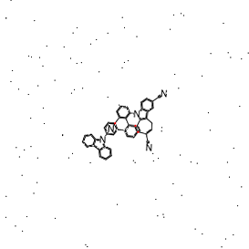 N#CC1=CCc2c(n(-c3cccc(C#N)c3-c3ccccc3-c3cccc(-n4c5ccccc5c5ccccc54)c3)c3ccc(C#N)cc23)C=C1